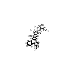 CCCCc1nc(C)c(CC(=O)N2C(C)COCC2C)c(=O)n1Cc1ccc(-c2ccccc2-c2nnn[nH]2)cc1